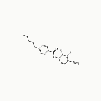 CCCCCc1ccc(C(=O)Oc2ccc(C#N)c(F)c2F)cc1